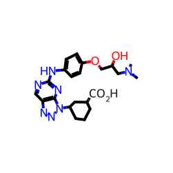 CN(C)CC(O)COc1ccc(Nc2ncc3nnn(C4CCCC(C(=O)O)C4)c3n2)cc1